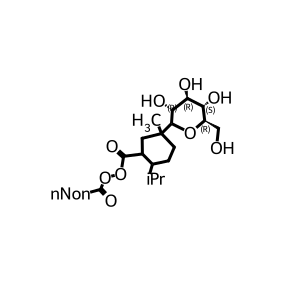 CCCCCCCCCC(=O)OOC(=O)C1CC(C)(C2O[C@H](CO)[C@@H](O)[C@H](O)[C@H]2O)CCC1C(C)C